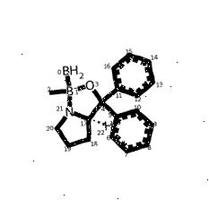 B[B-]1(C)OC(c2ccccc2)(c2ccccc2)[C@H]2CCCN21